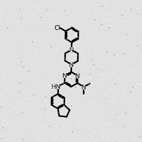 CN(C)c1cc(Nc2ccc3c(c2)CCC3)nc(N2CCN(c3cccc(Cl)c3)CC2)n1